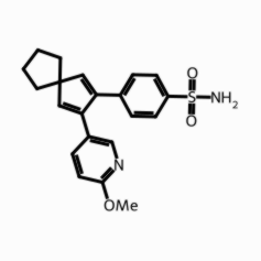 COc1ccc(C2=CC3(C=C2c2ccc(S(N)(=O)=O)cc2)CCCC3)cn1